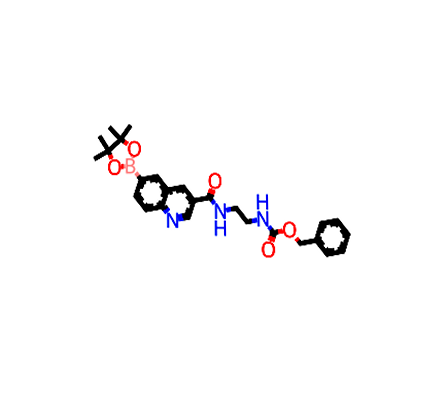 CC1(C)OB(c2ccc3ncc(C(=O)NCCNC(=O)OCc4ccccc4)cc3c2)OC1(C)C